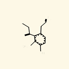 C=CCc1ccc(O)c(OC)c1C(=O)CCl